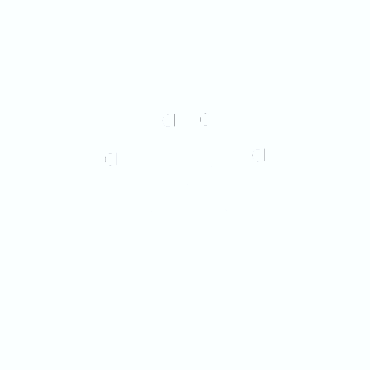 ClC1(Cl)C2C=CC(C2)C1(Cl)Cl